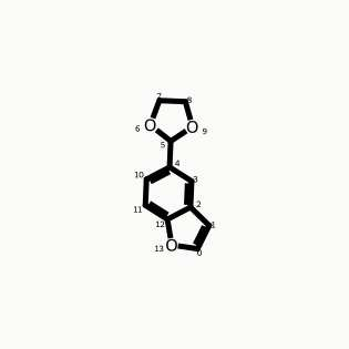 c1cc2cc(C3OCCO3)ccc2o1